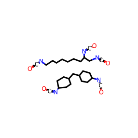 O=C=NC1CCC(CC2CCC(N=C=O)CC2)CC1.O=C=NCCCCCCCC(CN=C=O)N=C=O